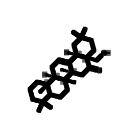 CC1(C)CC[C@]2(CO)C(=O)C[C@]3(C)C(=CC[C@@H]4[C@@]5(C)CCCC(C)(C)C5CC[C@]43C)[C@H]2C1